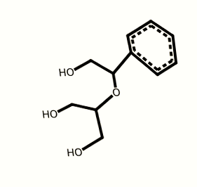 OCC(CO)OC(CO)c1ccccc1